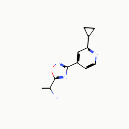 CC(N)c1nc(-c2ccnc(C3CC3)c2)no1.Cl